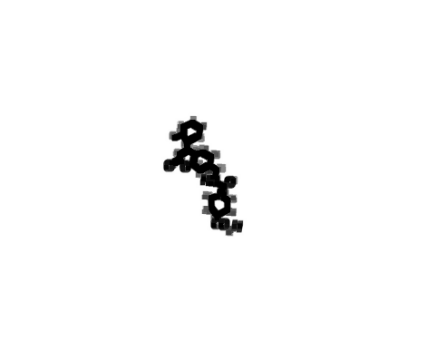 Cc1ccccc1-c1cc(=O)oc2cc(CNC(=O)N3CCC(C(=O)O)CC3)ccc12